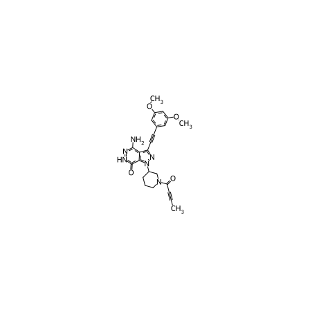 CC#CC(=O)N1CCCC(n2nc(C#Cc3cc(OC)cc(OC)c3)c3c(N)n[nH]c(=O)c32)C1